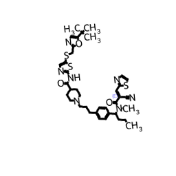 CCCC(c1ccc(CCCN2CCC(C(=O)Nc3ncc(SCc4ncc(C(C)(C)C)o4)s3)CC2)cc1)N(C)C(=O)/C(C#N)=C/c1nccs1